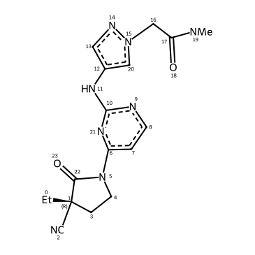 CC[C@]1(C#N)CCN(c2ccnc(Nc3cnn(CC(=O)NC)c3)n2)C1=O